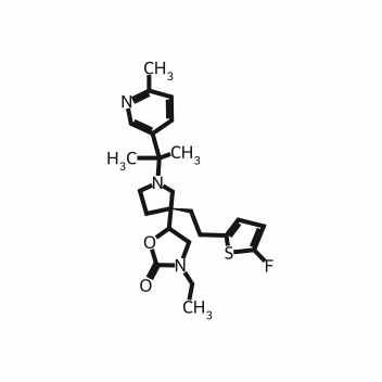 CCN1CC([C@]2(CCc3ccc(F)s3)CCN(C(C)(C)c3ccc(C)nc3)C2)OC1=O